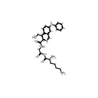 NCCCC[C@H](N)C(=O)OC(=O)CNC(=O)c1ncc2cc(Oc3ccccc3)ccc2c1CO